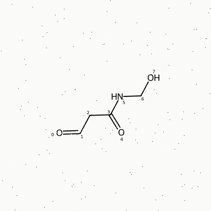 O=CCC(=O)NCO